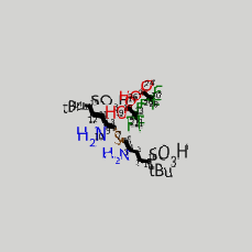 CC(C)(C)C(CCC(N)CSCC(N)CCC(C(C)(C)C)S(=O)(=O)O)S(=O)(=O)O.O=C(O)C(F)(F)F.O=C(O)C(F)(F)F